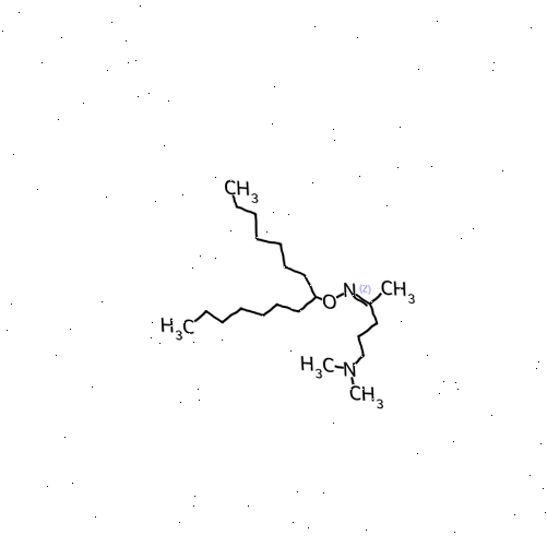 CCCCCCCC(CCCCCCC)O/N=C(/C)CCCN(C)C